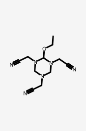 CCOC1N(CC#N)CN(CC#N)CN1CC#N